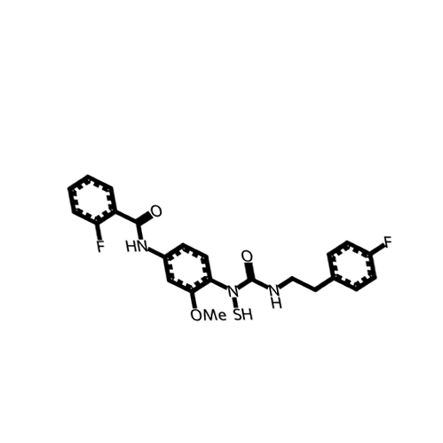 COc1cc(NC(=O)c2ccccc2F)ccc1N(S)C(=O)NCCc1ccc(F)cc1